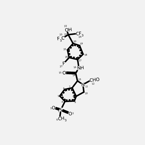 CS(=O)(=O)c1ccc2c(c1)CN(C=O)C2C(=O)Nc1ccc(C(O)(C(F)(F)F)C(F)(F)F)cc1F